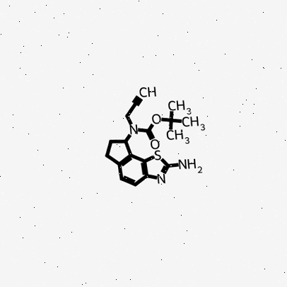 C#CCN(C(=O)OC(C)(C)C)C1CCc2ccc3nc(N)sc3c21